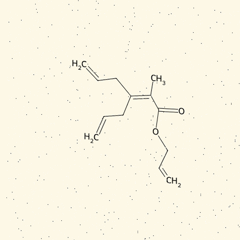 C=CCOC(=O)C(C)=C(CC=C)CC=C